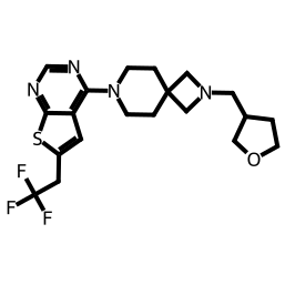 FC(F)(F)Cc1cc2c(N3CCC4(CC3)CN(CC3CCOC3)C4)ncnc2s1